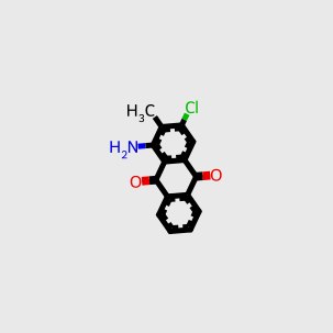 Cc1c(Cl)cc2c(c1N)C(=O)c1ccccc1C2=O